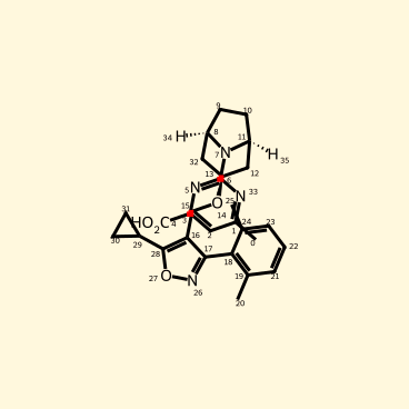 Cc1cc(C(=O)O)nc(N2[C@@H]3CC[C@H]2C[C@@H](OCc2c(-c4c(C)cccc4C)noc2C2CC2)C3)n1